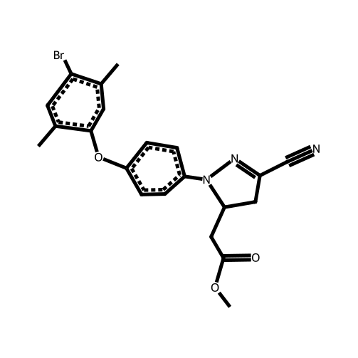 COC(=O)CC1CC(C#N)=NN1c1ccc(Oc2cc(C)c(Br)cc2C)cc1